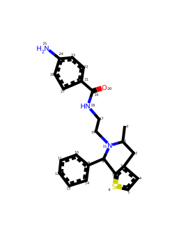 CC1Cc2ccsc2C(c2ccccc2)N1CCNC(=O)c1ccc(N)cc1